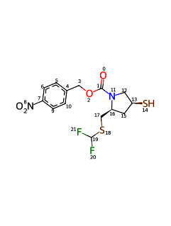 O=C(OCc1ccc([N+](=O)[O-])cc1)N1C[C@@H](S)C[C@H]1CSC(F)F